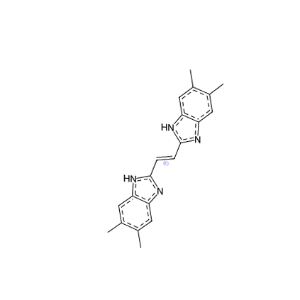 Cc1cc2nc(/C=C/c3nc4cc(C)c(C)cc4[nH]3)[nH]c2cc1C